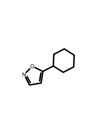 c1cc(C2CCCCC2)on1